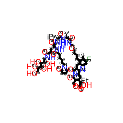 CC[C@@]1(O)C(=O)OCc2c1cc1n(c2=O)Cc2cc3c(CCCCOCNC(=O)[C@H](C)NC(=O)[C@@H](NC(=O)[C@H](CCC(=O)NC[C@H](O)[C@@H](O)[C@H](O)[C@H](O)CO)NC(=O)CCCCCN4C(=O)C=CC4=O)C(C)C)c(C)c(F)cc3nc2-1